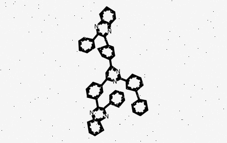 c1ccc(-c2cccc(-c3nc(-c4ccc(-c5nc6ccccc6nc5-c5ccccc5)cc4)cc(-c4cccc(-c5nc6ccccc6nc5-c5ccccc5)c4)n3)c2)cc1